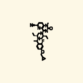 CC[C@H]1CN(C(C)c2ccc(OCC3CC3)cc2F)[C@H](CC)CN1c1nc(=O)n(C)c2ccc(C#N)nc12